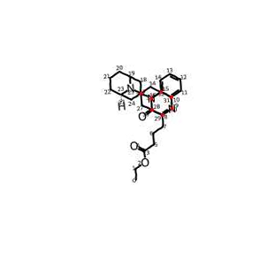 CCOC(=O)CCCc1nc2ccccc2n(C2CC3CCC[C@H](C2)N3C2CC3CCCC(C3)C2)c1=O